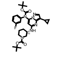 CC(C)(C)OC(=O)N1CCC[C@H](Nc2cc(N(C(=O)OC(C)(C)C)c3cccc(F)c3)n3ncc(C4CC4)c3n2)C1